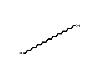 OCCCCCCCCC/C=C/CCCCCCCCCO